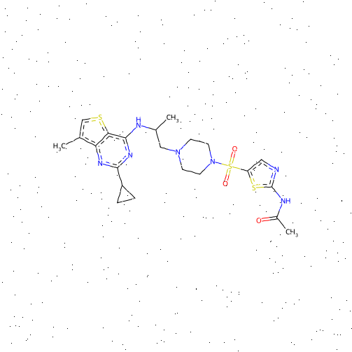 CC(=O)Nc1ncc(S(=O)(=O)N2CCN(CC(C)Nc3nc(C4CC4)nc4c(C)csc34)CC2)s1